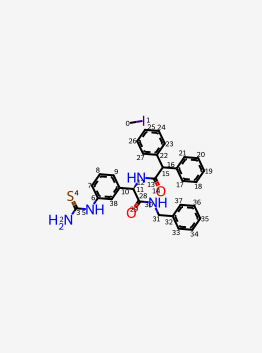 CI.NC(=S)Nc1cccc([C@@H](NC(=O)C(c2ccccc2)c2ccccc2)C(=O)NCc2ccccc2)c1